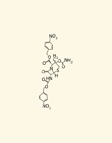 C[C@@]1(OC(N)=O)CS[C@@H]2[C@H](NC(=O)OCc3ccc([N+](=O)[O-])cc3)C(=O)N2[C@H]1C(=O)OCc1ccc([N+](=O)[O-])cc1